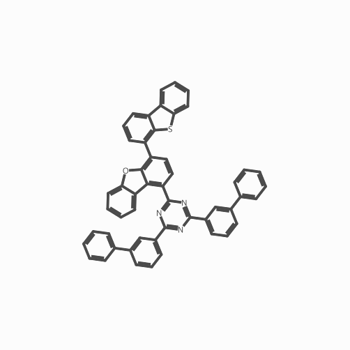 c1ccc(-c2cccc(-c3nc(-c4cccc(-c5ccccc5)c4)nc(-c4ccc(-c5cccc6c5sc5ccccc56)c5oc6ccccc6c45)n3)c2)cc1